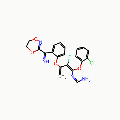 C=C(Oc1ccccc1C(=N)C1=NOCCO1)/C(F)=C(\N=C/N)Oc1ccccc1Cl